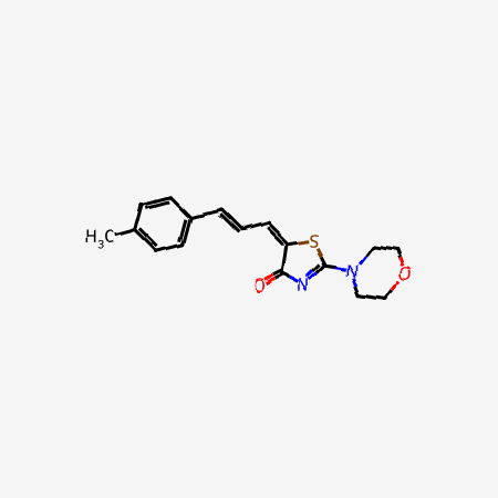 Cc1ccc(C=CC=C2SC(N3CCOCC3)=NC2=O)cc1